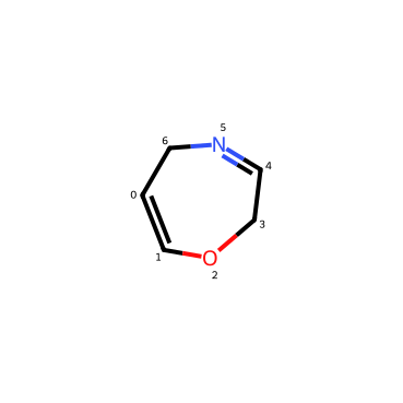 C1=COCC=NC1